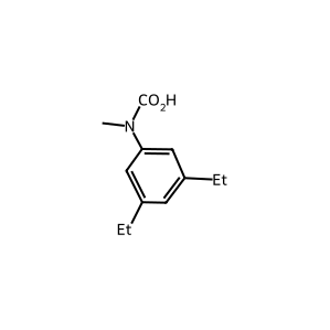 CCc1cc(CC)cc(N(C)C(=O)O)c1